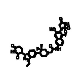 CCn1nc(C2CCC(=O)NC2=O)c2ccc(C3CCN(CC(=O)Nc4ccc5c(F)c(N6CC(=O)NS6(=O)=O)c(O)cc5c4)CC3(F)F)cc21